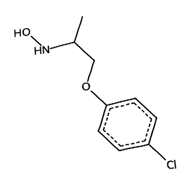 CC(COc1ccc(Cl)cc1)NO